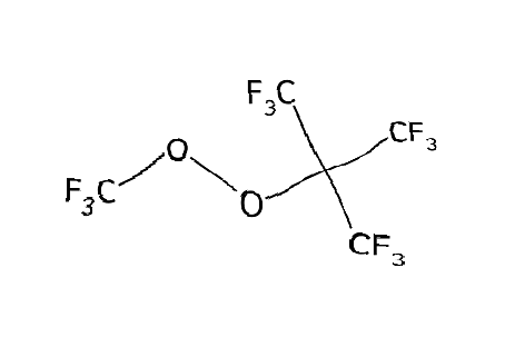 FC(F)(F)OOC(C(F)(F)F)(C(F)(F)F)C(F)(F)F